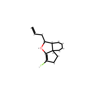 C=CCC1OC2=C(F)CCC23CCCCC13